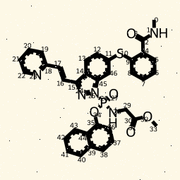 CNC(=O)c1ccccc1Sc1ccc2c(/C=C/c3ccccn3)nn(P(=O)(NCC(=O)OC)Oc3cccc4ccccc34)c2c1